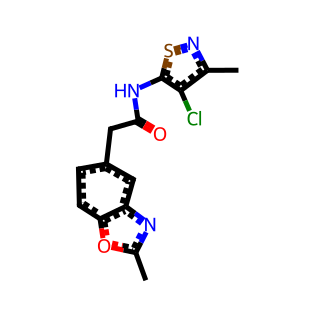 Cc1nc2cc(CC(=O)Nc3snc(C)c3Cl)ccc2o1